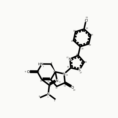 CN(C)C1=N[C@]23CNC(=O)C1=C2CC(=O)N3c1nc(-c2ccc(Cl)cc2)cs1